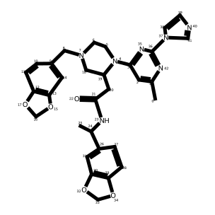 Cc1cc(N2CCN(Cc3ccc4c(c3)OCO4)CC2CC(=O)NC(C)c2ccc3c(c2)OCO3)nc(-n2ccnc2)n1